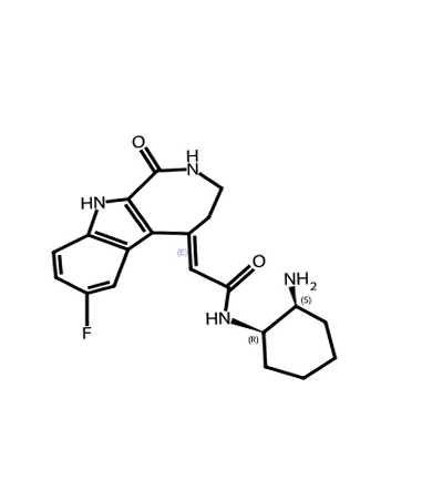 N[C@H]1CCCC[C@H]1NC(=O)/C=C1\CCNC(=O)c2[nH]c3ccc(F)cc3c21